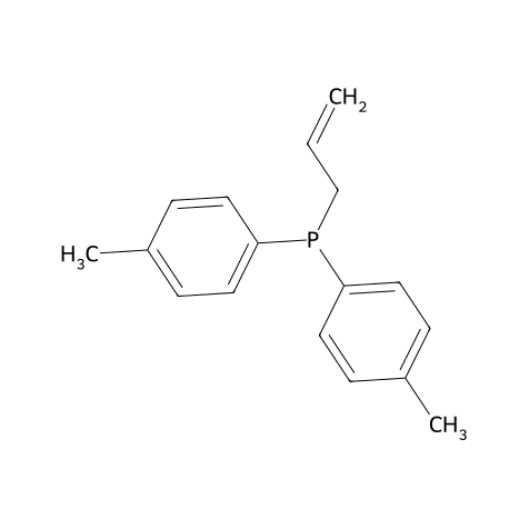 C=CCP(c1ccc(C)cc1)c1ccc(C)cc1